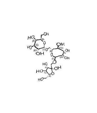 OC[C@H]1O[C@H](OC[C@H]2O[C@H](OC[C@@]3(O)O[C@H](CO)[C@@H](O)[C@@H]3O)[C@H](O)[C@@H](O)[C@@H]2O)[C@H](O)[C@@H](O)[C@H]1O